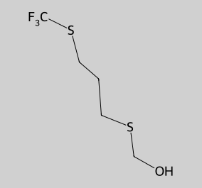 OCSCCCSC(F)(F)F